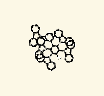 N#Cc1c(-n2c3ccccc3c3ccccc32)c(-n2c3ccccc3c3ccccc32)c(-c2cccc(-n3c4ccccc4c4cnccc43)c2)c(-n2c3ccccc3c3ccccc32)c1-n1c2ccccc2c2ccccc21